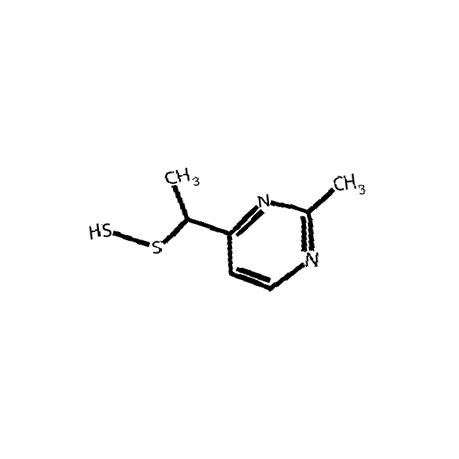 Cc1nccc(C(C)SS)n1